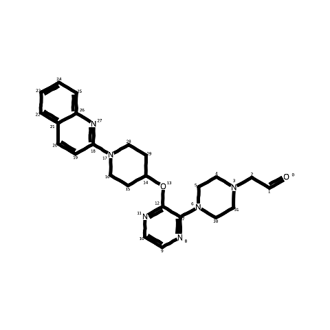 O=CCN1CCN(c2nccnc2OC2CCN(c3ccc4ccccc4n3)CC2)CC1